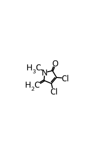 C=C1C(Cl)=C(Cl)C(=O)N1C